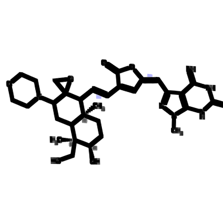 Cn1nc(/C=C2C=C(/C=C/C3C4(CO4)C(N4CCOCC4)CC4[C@]3(C)CC[C@@H](O)[C@@]4(C)CO)C(=O)O\2)c2c(=N)[nH]c(=O)[nH]c21